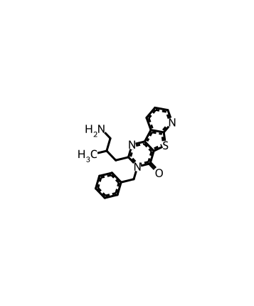 CC(CN)Cc1nc2c(sc3ncccc32)c(=O)n1Cc1ccccc1